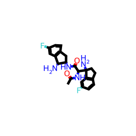 CC(=O)NC(C(=O)NC1Cc2ccc(F)cc2C1N)C1(N)CCc2ccc(F)cc21